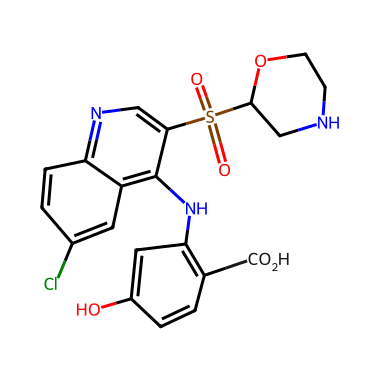 O=C(O)c1ccc(O)cc1Nc1c(S(=O)(=O)C2CNCCO2)cnc2ccc(Cl)cc12